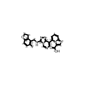 O=C(O)c1cnc2cccc(-c3cncn4c(NCc5c(F)ccc6c5CCO6)nnc34)n12